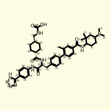 Cc1cc(C(=O)NC2CCC(N(C)C)CC2(C)C)ccc1-c1ccc(C[C@H](NC(=O)[C@H]2CC[C@H](CNC(=O)O)CC2)C(=O)Nc2ccc(-c3nnn[nH]3)cc2)cc1